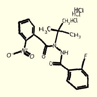 CC(C)(C)N(NC(=O)c1ccccc1F)C(=O)c1ccccc1[N+](=O)[O-].Cl.Cl.Cl